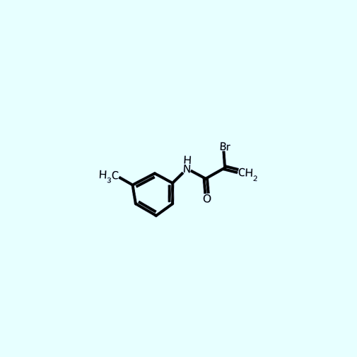 C=C(Br)C(=O)Nc1cccc(C)c1